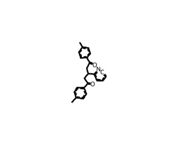 Cc1ccc(C(=O)CC(CC(=O)c2ccc(C)cc2)c2ccccn2)cc1